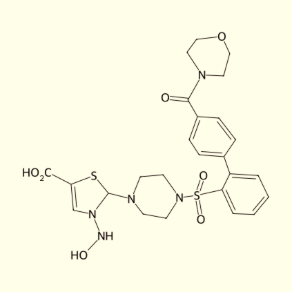 O=C(O)C1=CN(NO)C(N2CCN(S(=O)(=O)c3ccccc3-c3ccc(C(=O)N4CCOCC4)cc3)CC2)S1